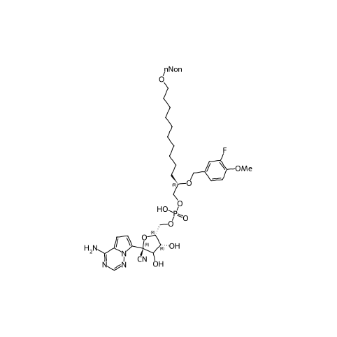 CCCCCCCCCOCCCCCCCCCC[C@H](COP(=O)(O)OC[C@H]1O[C@@](C#N)(c2ccc3c(N)ncnn23)C(O)[C@H]1O)OCc1ccc(OC)c(F)c1